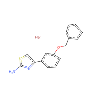 Br.Nc1nc(-c2cccc(OCc3ccccc3)c2)cs1